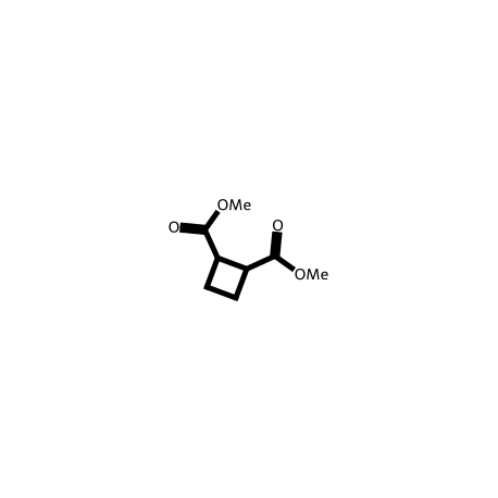 COC(=O)C1CCC1C(=O)OC